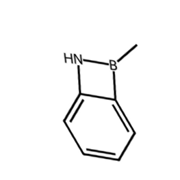 CB1Nc2ccccc21